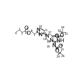 CCCC(=O)OCCc1nccc(N2C[C@@H](C)N(C(=NC(=O)OC(C)(C)C)NC(=O)OC(C)(C)C)[C@@H](C)C2)n1